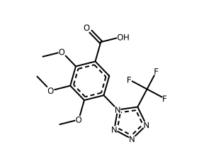 COc1c(C(=O)O)cc(-n2nnnc2C(F)(F)F)c(OC)c1OC